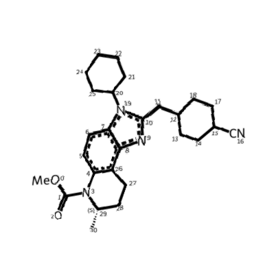 COC(=O)N1c2ccc3c(nc(CC4CCC(C#N)CC4)n3C3CCCCC3)c2CC[C@@H]1C